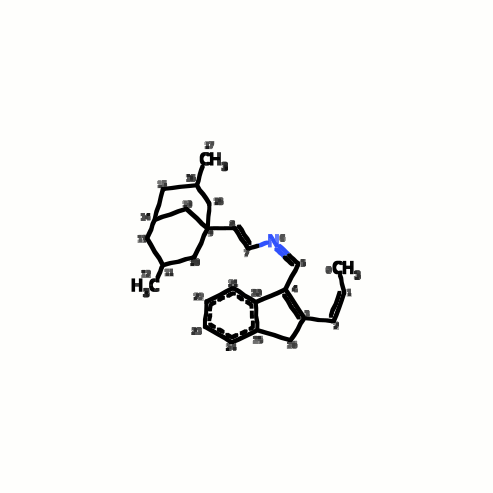 C/C=C\C1=C(/C=N\C=C\C23CC(C)CC(CC(C)C2)C3)c2ccccc2C1